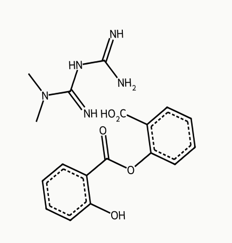 CN(C)C(=N)NC(=N)N.O=C(Oc1ccccc1C(=O)O)c1ccccc1O